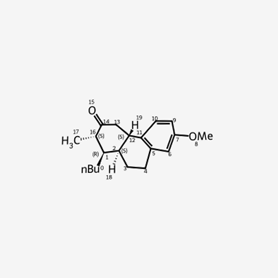 CCCC[C@@H]1[C@@H]2CCc3cc(OC)ccc3[C@H]2CC(=O)[C@H]1C